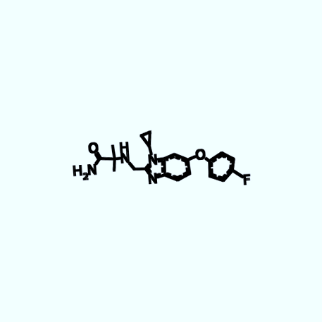 CC(C)(NCc1nc2ccc(Oc3ccc(F)cc3)cc2n1C1CC1)C(N)=O